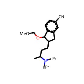 CCCN(CCC)C(C)CCC1Cc2cc(C#N)ccc2C1OCOC